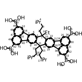 CCC1(CCC(C)C)c2cc3c(cc2C(CCC(C)C)(CCC(C)C)c2cc4c(cc21)-c1cc(B(O)O)cc2cc(B(O)O)cc-4c12)-c1cc(B(O)O)cc2cc(B(O)O)cc-3c12